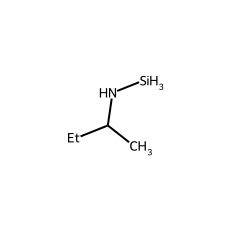 CCC(C)N[SiH3]